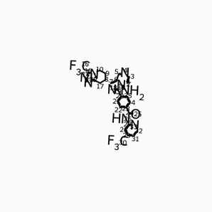 N[N+]12C=CN=CC1=C([C@H]1CCn3c(nnc3C(F)(F)F)C1)N=C2c1ccc(C(=O)Nc2cc(C(F)(F)F)ccn2)cc1